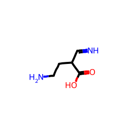 N=CC(CCN)C(=O)O